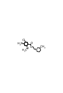 COc1cc(N)c(Cl)cc1C(=O)OCCN1CCCC(C)C1